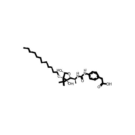 CCCCCCCCCCCCO[C@]12[C@H](O)O[C@H]([C@H](C)NC(=O)Nc3ccc(CC(=O)O)cc3)[C@@]1(O)C2(C)C